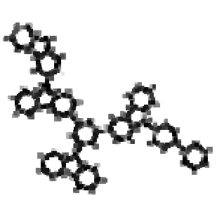 c1ccc(-c2ccc(-n3c4ccccc4c4cc(-c5cc(-c6ccc7c(c6)c6ccccc6n7-c6ccc7sc8ccccc8c7c6)cc(-n6c7ccccc7c7ccccc76)c5)ccc43)cc2)cc1